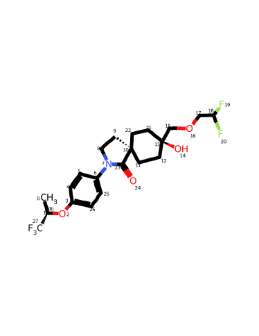 C[C@@H](Oc1ccc(N2CC[C@]3(CC[C@@](O)(COCC(F)F)CC3)C2=O)cc1)C(F)(F)F